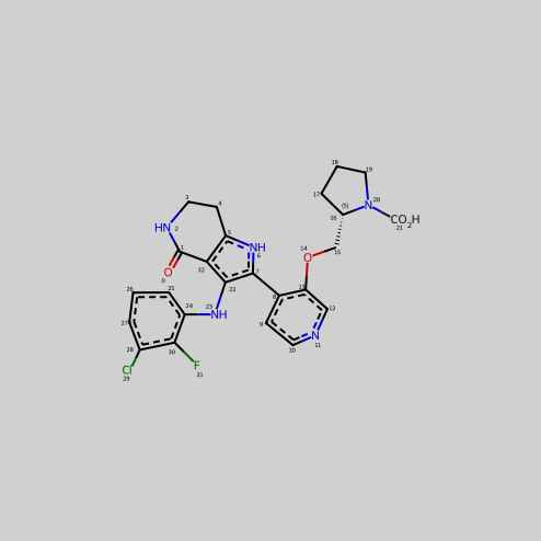 O=C1NCCc2[nH]c(-c3ccncc3OC[C@@H]3CCCN3C(=O)O)c(Nc3cccc(Cl)c3F)c21